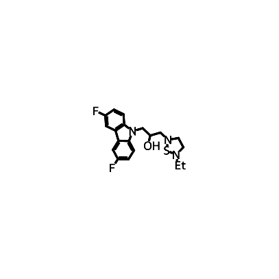 CCN1CCN(CC(O)Cn2c3ccc(F)cc3c3cc(F)ccc32)S1